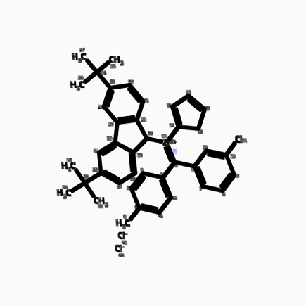 Cc1ccc(/[C](c2cccc(Cl)c2)=[Zr+2](/[C]2=CC=CC2)[CH]2c3ccc(C(C)(C)C)cc3-c3cc(C(C)(C)C)ccc32)cc1.[Cl-].[Cl-]